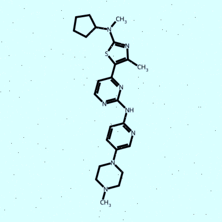 Cc1nc(N(C)C2CCCC2)sc1-c1ccnc(Nc2ccc(N3CCN(C)CC3)cn2)n1